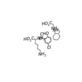 NC1CCCCC1.NCC(=O)O.NCCCC[C@H](N)C(=O)O.O=Cc1ccc(Cl)cc1Cl